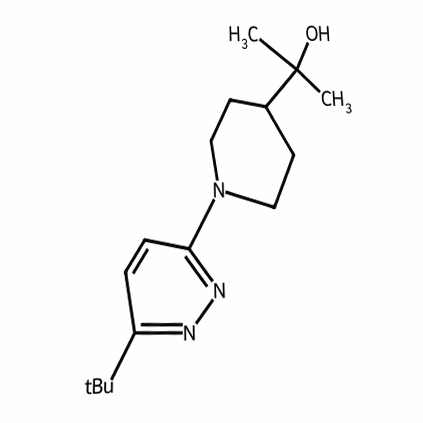 CC(C)(C)c1ccc(N2CCC(C(C)(C)O)CC2)nn1